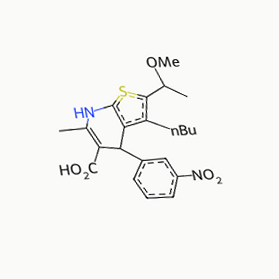 CCCCc1c(C(C)OC)sc2c1C(c1cccc([N+](=O)[O-])c1)C(C(=O)O)=C(C)N2